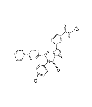 O=C(NC1CC1)c1cccc(-n2cnc3c(=O)n(-c4ccc(Cl)cc4)c(-c4ccc(-c5ccccc5)cc4)nc32)c1